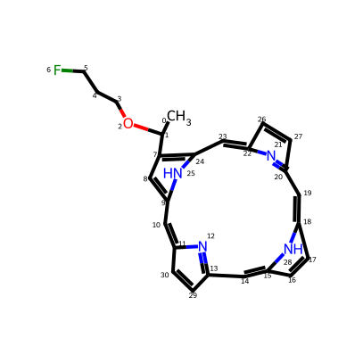 CC(OCCCF)c1cc2cc3nc(cc4ccc(cc5nc(cc1[nH]2)C=C5)[nH]4)C=C3